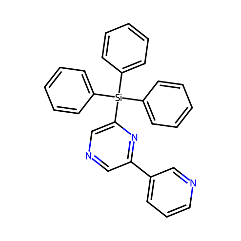 c1ccc([Si](c2ccccc2)(c2ccccc2)c2cncc(-c3cccnc3)n2)cc1